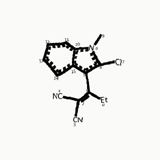 CCC(=C(C#N)C#N)c1c(Cl)n(C)c2ccccc12